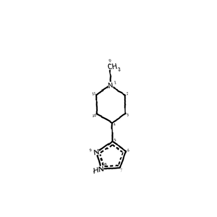 CN1CCC(c2[c]c[nH]n2)CC1